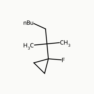 CCCCCC(C)(C)C1(F)CC1